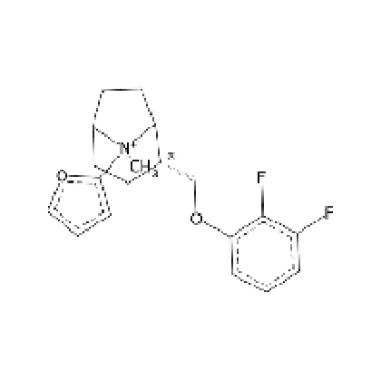 C[N+]1(c2ccco2)C2CCC1[C@H](COc1cccc(F)c1F)CC2